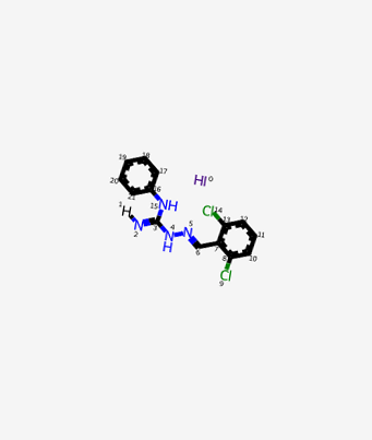 I.[H]/N=C(/NN=Cc1c(Cl)cccc1Cl)Nc1ccccc1